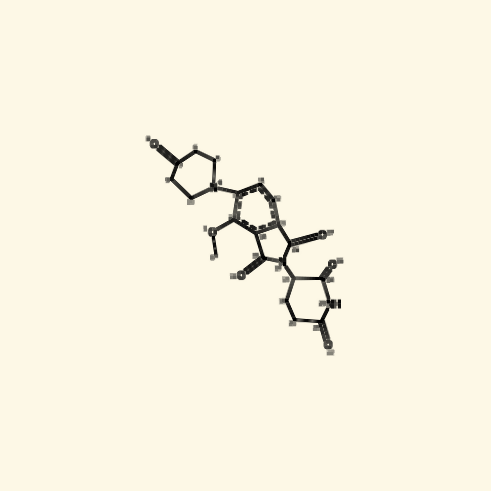 COc1c(N2CCC(=O)CC2)ccc2c1C(=O)N(C1CCC(=O)NC1=O)C2=O